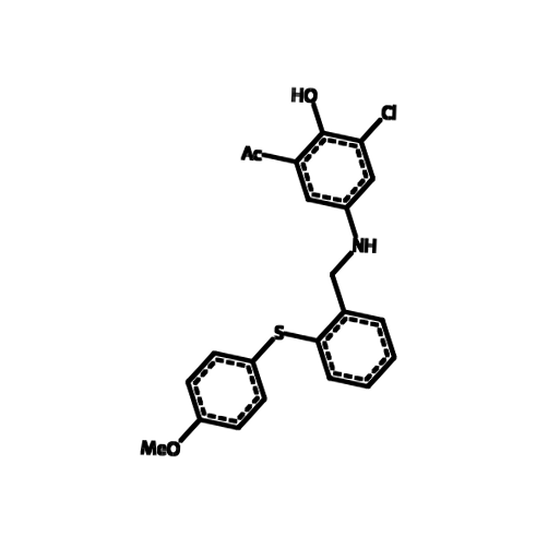 COc1ccc(Sc2ccccc2CNc2cc(Cl)c(O)c(C(C)=O)c2)cc1